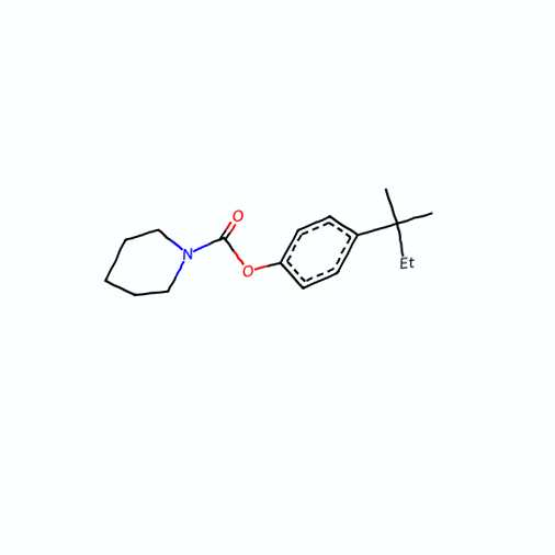 CCC(C)(C)c1ccc(OC(=O)N2CCCCC2)cc1